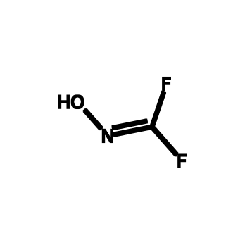 ON=C(F)F